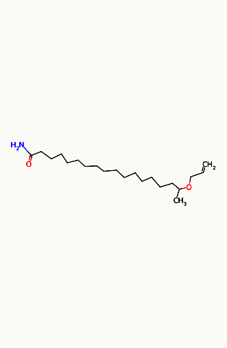 C=CCOC(C)CCCCCCCCCCCCCCCC(N)=O